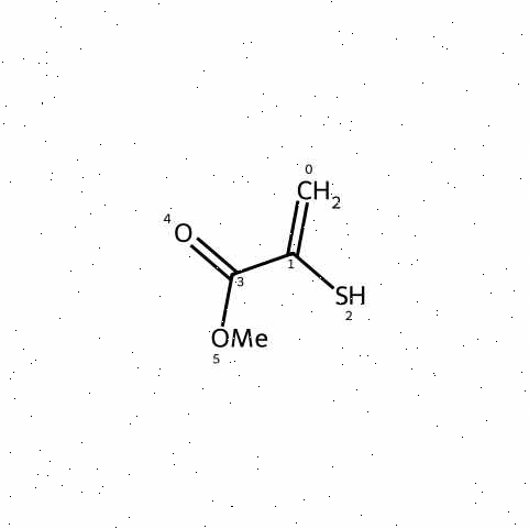 C=C(S)C(=O)OC